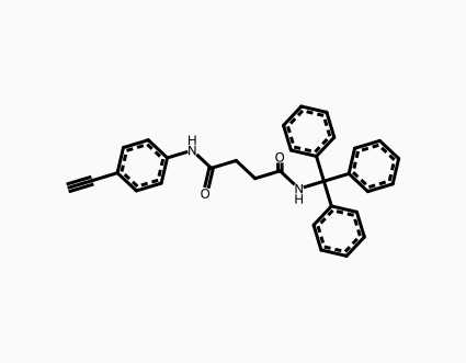 C#Cc1ccc(NC(=O)CCC(=O)NC(c2ccccc2)(c2ccccc2)c2ccccc2)cc1